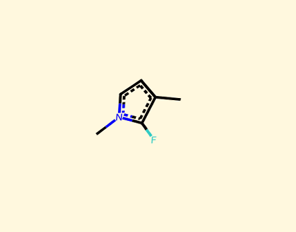 Cc1ccn(C)c1F